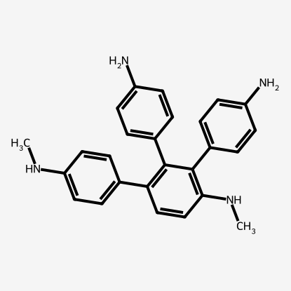 CNc1ccc(-c2ccc(NC)c(-c3ccc(N)cc3)c2-c2ccc(N)cc2)cc1